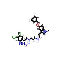 CN(CCCNCCc1cc(Cl)c(Cl)cc1N)CCc1cn(C)c2ccc(OCc3ccccc3)cc12